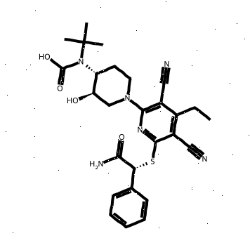 CCc1c(C#N)c(S[C@@H](C(N)=O)c2ccccc2)nc(N2CC[C@@H](N(C(=O)O)C(C)(C)C)[C@H](O)C2)c1C#N